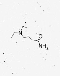 CCN(CC)CCCC(N)=O